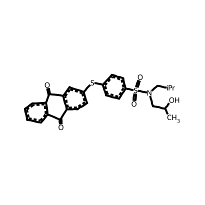 CC(C)CN(CC(C)O)S(=O)(=O)c1ccc(Sc2ccc3c(c2)C(=O)c2ccccc2C3=O)cc1